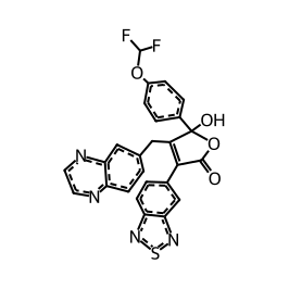 O=C1OC(O)(c2ccc(OC(F)F)cc2)C(Cc2ccc3nccnc3c2)=C1c1ccc2nsnc2c1